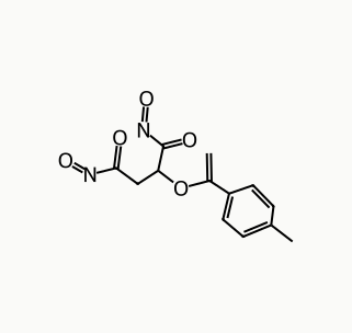 C=C(OC(CC(=O)N=O)C(=O)N=O)c1ccc(C)cc1